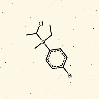 CC[Si](C)(c1ccc(Br)cc1)C(C)Cl